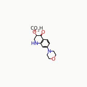 O=C(O)OC1CNc2cc(N3CCOCC3)ccc2C1=O